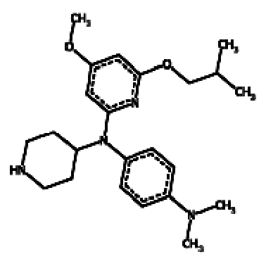 COc1cc(OCC(C)C)nc(N(c2ccc(N(C)C)cc2)C2CCNCC2)c1